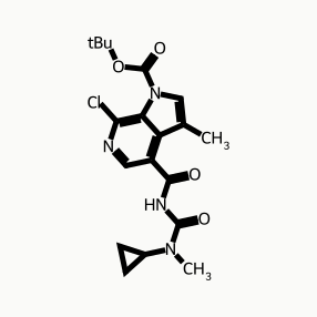 Cc1cn(C(=O)OC(C)(C)C)c2c(Cl)ncc(C(=O)NC(=O)N(C)C3CC3)c12